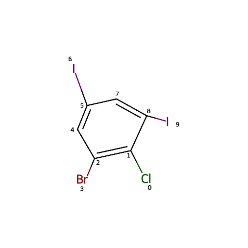 Clc1c(Br)cc(I)cc1I